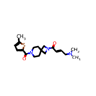 Cc1ccc(C(=O)N2CCC3(CC2)CN(C(=O)/C=C/CN(C)C)C3)s1